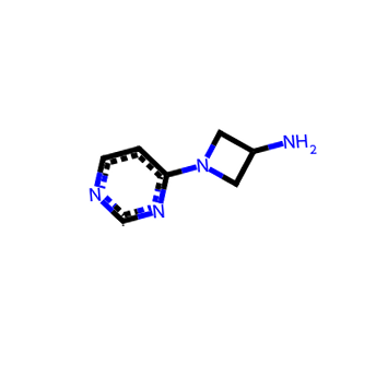 NC1CN(c2ccn[c]n2)C1